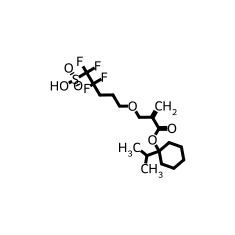 C=C(COCCCC(F)(F)C(F)(F)S(=O)(=O)O)C(=O)OC1(C(C)C)CCCCC1